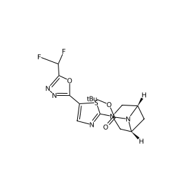 CC(C)(C)OC(=O)N1[C@@H]2C[C@H]1CN(c1ncc(-c3nnc(C(F)F)o3)s1)C2